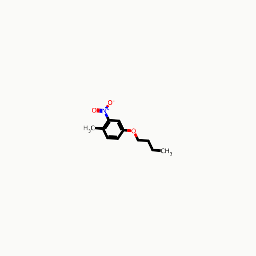 CCCCOc1ccc(C)c([N+](=O)[O-])c1